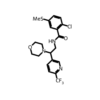 CSc1ccc(Cl)c(C(=O)NCC(c2ccc(C(F)(F)F)nc2)N2CCOCC2)c1